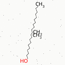 CCCCCCCCCCCCCCCCCCCCCCO.[CH2]C